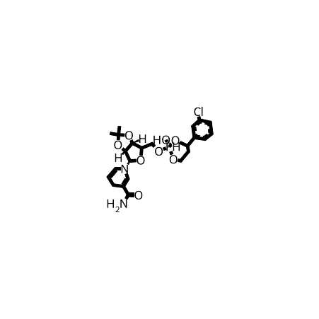 CC1(C)O[C@@H]2[C@H](O1)C(CO[PH]1(O)OCCC(c3cccc(Cl)c3)O1)O[C@H]2N1C=CCC(C(N)=O)=C1